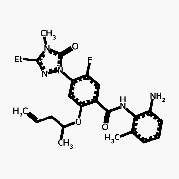 C=CCC(C)Oc1cc(-n2nc(CC)n(C)c2=O)c(F)cc1C(=O)Nc1c(C)cccc1N